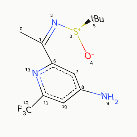 C/C(=N/[S@+]([O-])C(C)(C)C)c1cc(N)cc(C(F)(F)F)n1